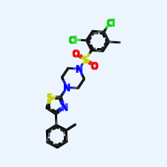 Cc1cc(S(=O)(=O)N2CCN(c3nc(-c4ccccc4C)cs3)CC2)c(Cl)cc1Cl